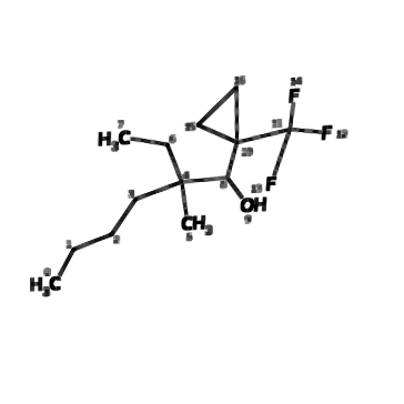 CCCCC(C)(CC)C(O)C1(C(F)(F)F)CC1